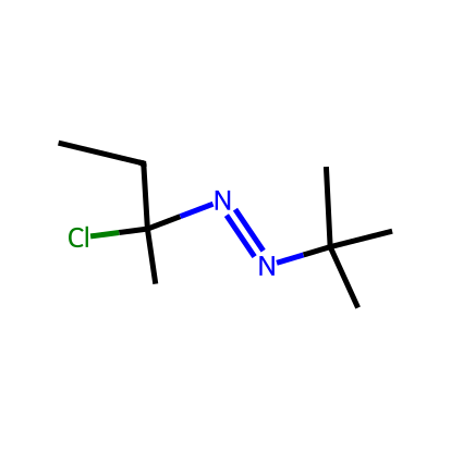 CCC(C)(Cl)/N=N/C(C)(C)C